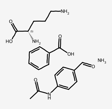 CC(=O)Nc1ccc(C=O)cc1.N.NCCC[C@H](N)C(=O)O.O=C(O)c1ccccc1